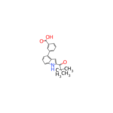 CC(C)(C)C(=O)c1cc2c(-c3cccc(C(=O)O)c3)cccc2[nH]1